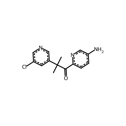 CC(C)(C(=O)c1ccc(N)cn1)c1cncc(Cl)c1